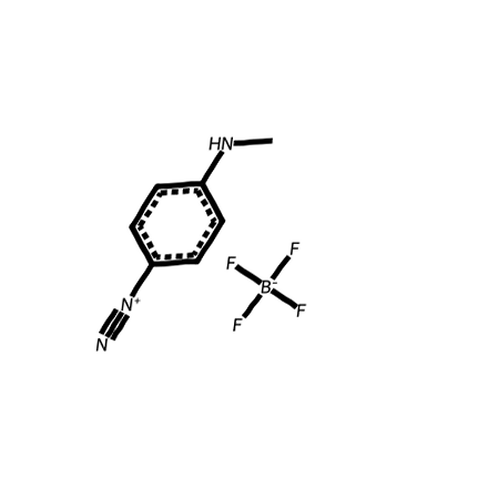 CNc1ccc([N+]#N)cc1.F[B-](F)(F)F